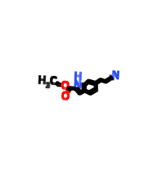 CCOC(=O)c1cc2ccc(CCC#N)cc2[nH]1